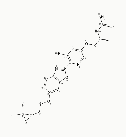 C[C@@H](COc1cnc(-c2nc3ccc(OCCC4CC4(F)F)cc3o2)c(F)c1)NC(N)=O